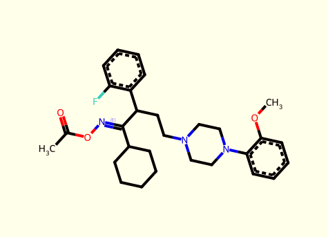 COc1ccccc1N1CCN(CCC(/C(=N/OC(C)=O)C2CCCCC2)c2ccccc2F)CC1